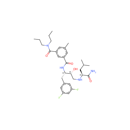 CCCN(CCC)C(=O)c1cc(C)cc(C(=O)N[C@@H](Cc2cc(F)cc(F)c2)[C@H](O)CN[C@@H](CC(C)C)C(N)=O)c1